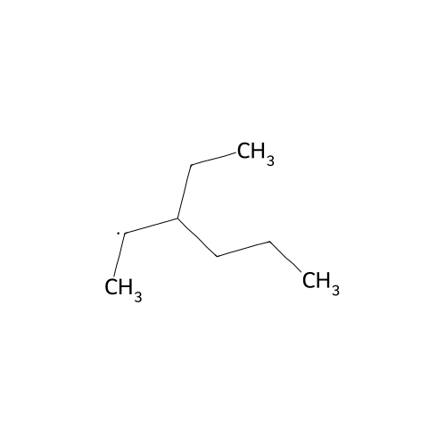 C[CH]C(CC)CCC